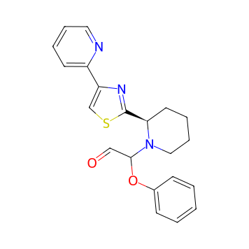 O=CC(Oc1ccccc1)N1CCCC[C@@H]1c1nc(-c2ccccn2)cs1